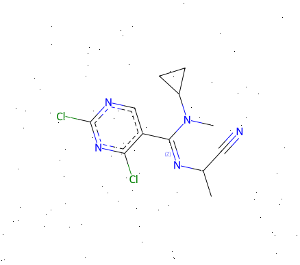 CC(C#N)/N=C(/c1cnc(Cl)nc1Cl)N(C)C1CC1